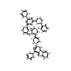 c1ccc(-c2cccc(-c3nc(-c4ccccc4)nc(-c4cccc5sc6c(-c7ccc(-c8nc(-c9ccccc9)c9oc%10ccccc%10c9n8)cc7)cccc6c45)n3)c2)cc1